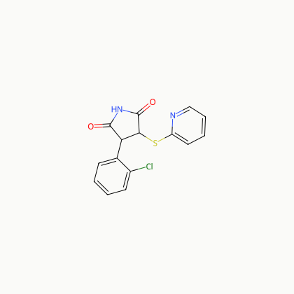 O=C1NC(=O)C(c2ccccc2Cl)C1Sc1ccccn1